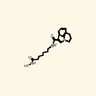 O=C(CCCCCCNC(=O)c1cn2c3c(cccc13)CCC2)NO